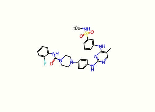 Cc1cnc(Nc2ccc(N3CCN(C(=O)Nc4ccccc4F)CC3)cc2)nc1Nc1cccc(S(=O)(=O)NC(C)(C)C)c1